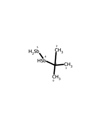 C[C](C)(C)[SbH][SbH2]